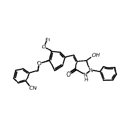 CCOc1cc(/C=C2\C(=O)NN(c3ccccc3)C2O)ccc1OCc1ccccc1C#N